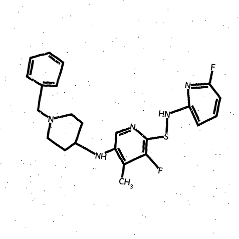 Cc1c(NC2CCN(Cc3ccccc3)CC2)cnc(SNc2cccc(F)n2)c1F